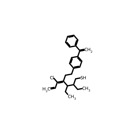 C=C/C(Cl)=C(/CCc1ccc(C(=C)c2ccccc2)cc1)C(CC)C(CC)CS